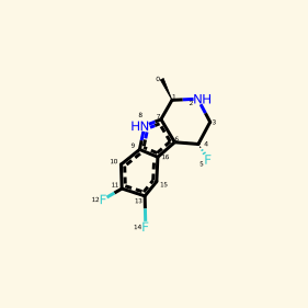 C[C@H]1NC[C@H](F)c2c1[nH]c1cc(F)c(F)cc21